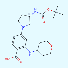 CC(C)(C)OC(=O)N[C@H]1CCN(c2ccc(C(=O)O)c(NC3CCOCC3)c2)C1